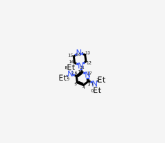 CCN(CC)c1ccc(N(CC)CC)c(N2CC[N]CC2)n1